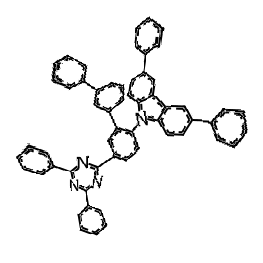 c1ccc(-c2cccc(-c3cc(-c4nc(-c5ccccc5)nc(-c5ccccc5)n4)ccc3-n3c4ccc(-c5ccccc5)cc4c4cc(-c5ccccc5)ccc43)c2)cc1